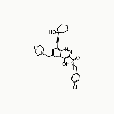 O=C(NCc1ccc(Cl)cc1)c1nnc2c(C#CC3(O)CCCCC3)cc(CN3CCOCC3)cc2c1O